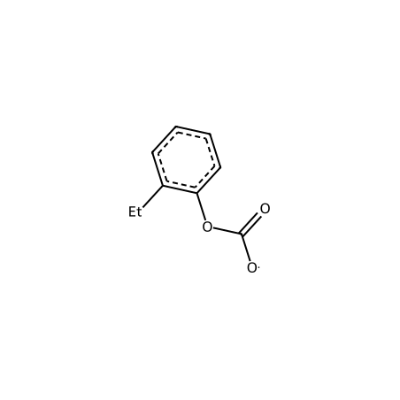 CCc1ccccc1OC([O])=O